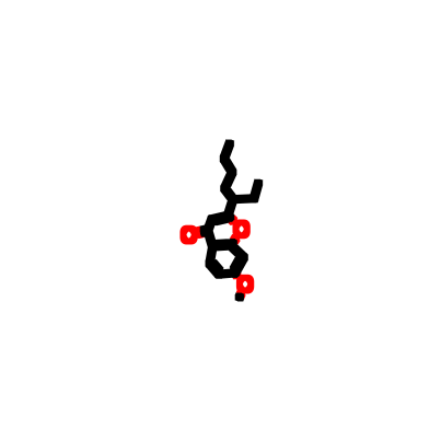 CCCCC(CC)c1cc(=O)c2ccc(OC)cc2o1